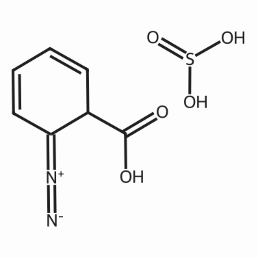 O=S(O)O.[N-]=[N+]=C1C=CC=CC1C(=O)O